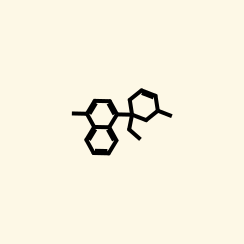 CCC1(c2ccc(C)c3ccccc23)CC=CC(C)C1